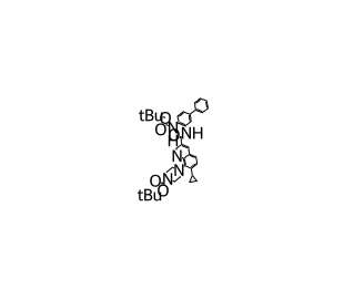 CC(C)(C)OC(=O)Nc1ccc(-c2ccccc2)cc1NC(=O)c1cnc2c(N3CCN(C(=O)OC(C)(C)C)CC3)c(C3CC3)ccc2c1